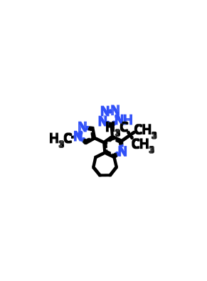 Cn1cc(-c2c3c(nc(C(C)(C)C)c2-c2nnn[nH]2)CCCCC3)cn1